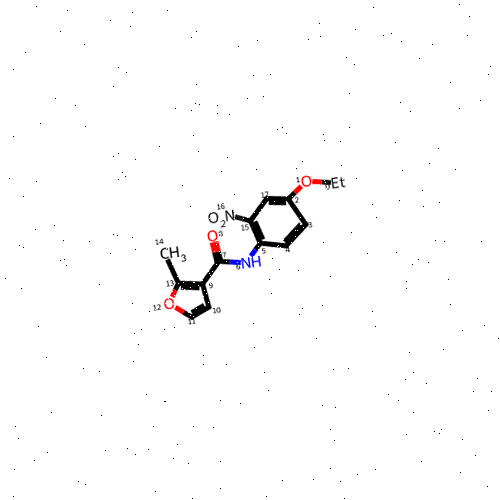 CCOc1ccc(NC(=O)c2ccoc2C)c([N+](=O)[O-])c1